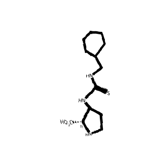 O=C(O)[C@H]1NCCC1NC(=S)NCC1CCCCC1